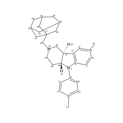 Cc1ccc(N2c3ccc(C)cc3[C@@H]3CN(CC45CC6CC(CC(C6)C4)C5)CC[C@H]32)cc1